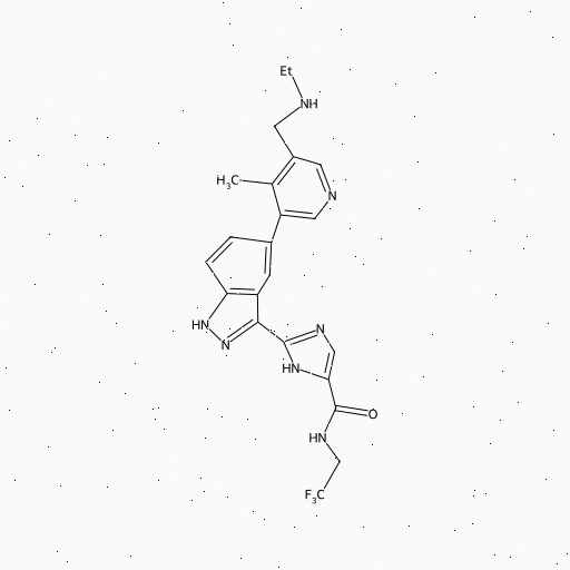 CCNCc1cncc(-c2ccc3[nH]nc(-c4ncc(C(=O)NCC(F)(F)F)[nH]4)c3c2)c1C